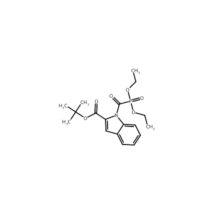 CCOP(=O)(OCC)C(=O)n1c(C(=O)OC(C)(C)C)cc2ccccc21